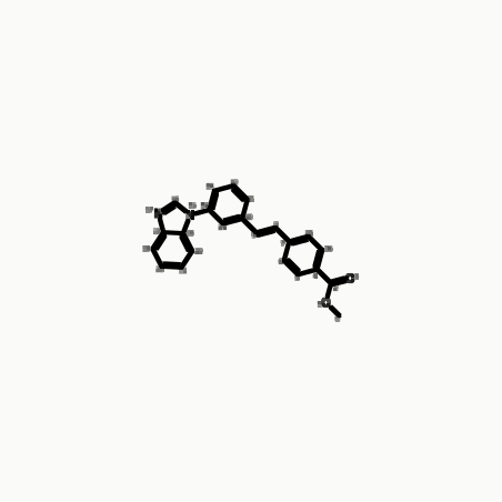 COC(=O)c1ccc(/C=C/c2cccc(-n3cnc4ccccc43)c2)cc1